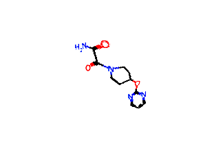 NC(=O)C(=O)N1CCC(Oc2ncccn2)CC1